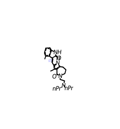 CCCN(CCC)CCN1CCCc2[nH]c(/C=C3\C(=O)Nc4cccc(C)c43)c(C)c2C1=O